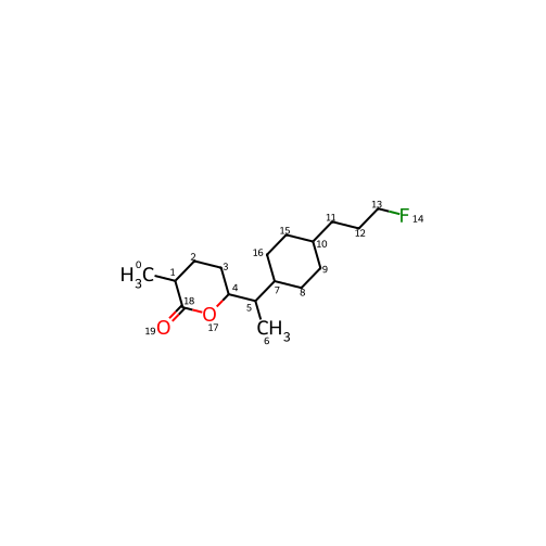 CC1CCC(C(C)C2CCC(CCCF)CC2)OC1=O